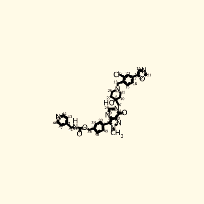 Cn1nc2c(=O)n(CC3(O)CCN(Cc4ccc(-c5cnco5)cc4Cl)CC3)cnc2c1-c1ccc(COC(=O)NCc2ccncc2)cc1